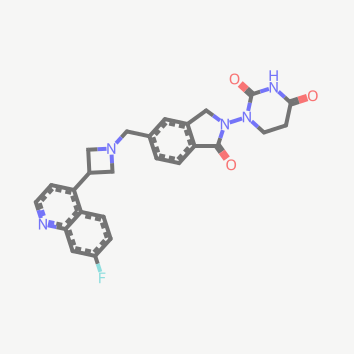 O=C1CCN(N2Cc3cc(CN4CC(c5ccnc6cc(F)ccc56)C4)ccc3C2=O)C(=O)N1